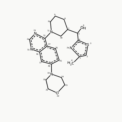 Cc1csc(C(O)C2CCCN(c3ncnc4cc(N5CCOCC5)ccc34)C2)n1